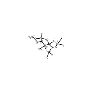 C[Si](C)(C)OC(O[Si](C)(C)C)(O[Si](C)(C)C)[Si](C)(Cl)CC[SiH3]